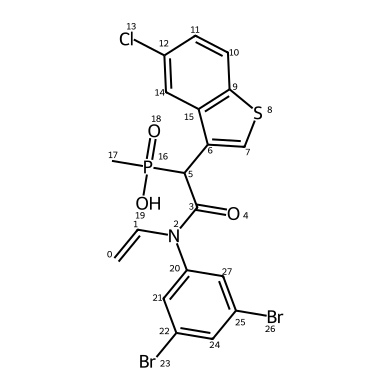 C=CN(C(=O)C(c1csc2ccc(Cl)cc12)P(C)(=O)O)c1cc(Br)cc(Br)c1